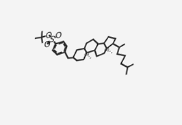 CC(C)CCCC(C)C1CCC2C3CCC4CC(Cc5ccc(S(=O)(=O)OC(C)(C)C)cc5)CC[C@]4(C)C3CC[C@]12C